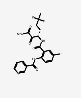 CNC(=O)C(=O)[C@H](CCC(C)(F)F)NC(=O)c1cc(Cl)ccc1NC(=O)c1cccnc1